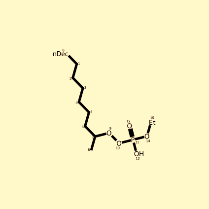 CCCCCCCCCCCCCCCCC(C)OOP(=O)(O)OCC